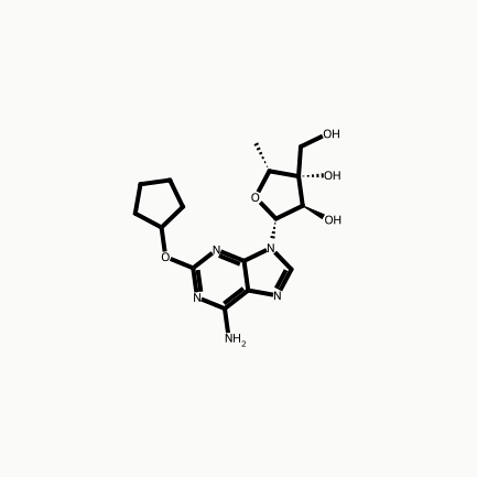 C[C@H]1O[C@@H](n2cnc3c(N)nc(OC4CCCC4)nc32)[C@H](O)[C@]1(O)CO